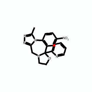 Cc1nnc2n1-c1ccc([N+](=O)[O-])cc1C1(c3ccccn3)OCCN1C2